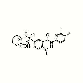 COc1ccc(S(=O)(=O)N[C@H]2CCCC[C@@H]2O)cc1C(=O)Nc1ccc(F)c(C)n1